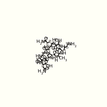 C[C@H](NC(=O)[C@@H]1CCC(=O)N1)C(=O)N[C@@H](CCCCN)C(=O)NC(CO)C(=O)N[C@@H](CCC(N)=O)C(=O)NCC(=O)NCC(=O)N[C@@H](CO)C(=O)N[C@@H](CC(N)=O)C(=O)O